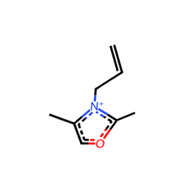 C=CC[n+]1c(C)coc1C